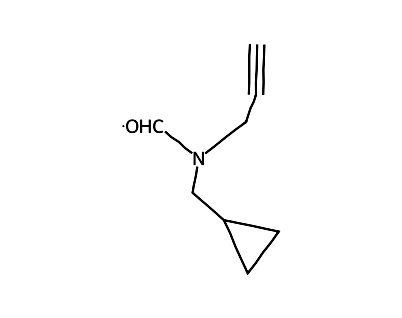 C#CCN([C]=O)CC1CC1